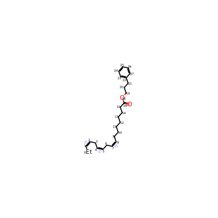 CC/C=C\C/C=C\C/C=C\CCCCCCCC(=O)OCCCc1ccccc1